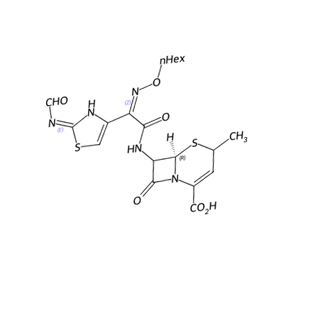 CCCCCCO/N=C(\C(=O)NC1C(=O)N2C(C(=O)O)=CC(C)S[C@H]12)c1cs/c(=N/C=O)[nH]1